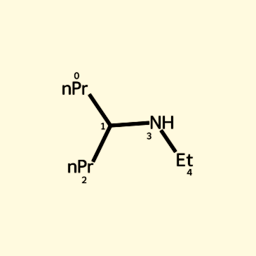 CCCC(CCC)NCC